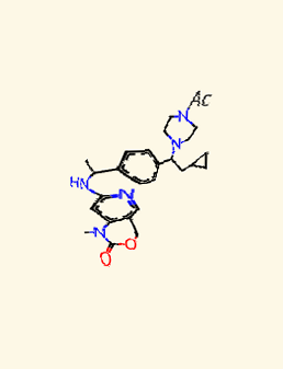 CC(=O)N1CCN(C(CC2CC2)c2ccc([C@H](C)Nc3cc4c(cn3)COC(=O)N4C)cc2)CC1